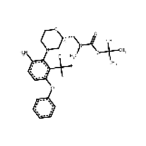 CN(C[C@@H]1CN(c2c(N)ccc(Oc3ccccc3)c2C(F)(F)F)CCO1)C(=O)OC(C)(C)C